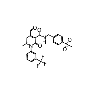 Cc1cc(C=O)c(C(=O)NCc2ccc(S(C)(=O)=O)cc2)c(=O)n1-c1cccc(C(F)(F)F)c1